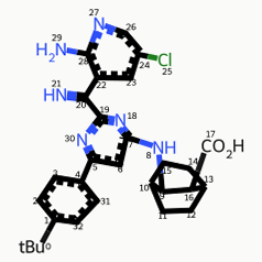 CC(C)(C)c1ccc(-c2cc(NC3C4CCC(CC4)C3C(=O)O)nc(C(=N)c3cc(Cl)cnc3N)n2)cc1